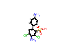 Nc1ccc(-c2cc(Cl)c(N)c(Cl)c2S(=O)(=O)O)cc1